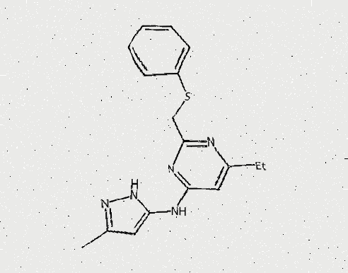 CCc1cc(Nc2cc(C)n[nH]2)nc(CSc2ccccc2)n1